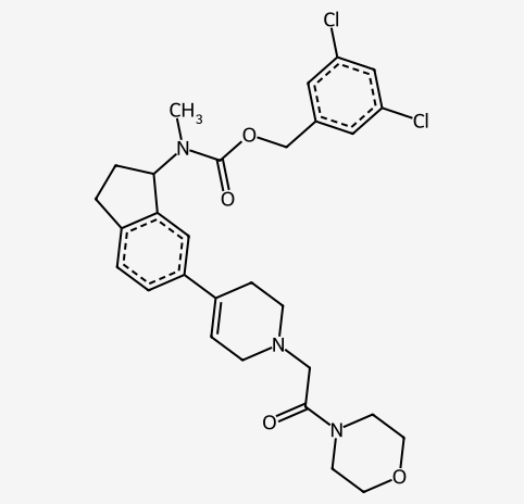 CN(C(=O)OCc1cc(Cl)cc(Cl)c1)C1CCc2ccc(C3=CCN(CC(=O)N4CCOCC4)CC3)cc21